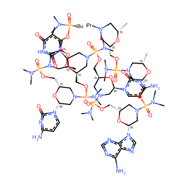 CCC(C)P(=O)(OC[C@@H]1CN(P(=O)(OC[C@@H]2CN(P(=O)(OC[C@@H]3CN(P(=O)(OC[C@@H]4CN(P(=O)(OC[C@@H]5CN(P(=O)(OC[C@@H]6CN(P(=O)(OC[C@@H]7CN(C(C)C)C[C@H](C)O7)N(C)C)C[C@H](C)O6)N(C)C)C[C@H](n6cnc7c(N)ncnc76)O5)N(C)C)C[C@H](n5ccc(N)nc5=O)O4)N(C)C)CC(n4cc(C)c(=O)[nH]c4=O)O3)N(C)C)C[C@H](n3ccc(N)nc3=O)O2)N(C)C)C[C@H](C)O1)N(C)C